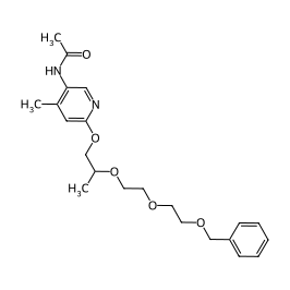 CC(=O)Nc1cnc(OCC(C)OCCOCCOCc2ccccc2)cc1C